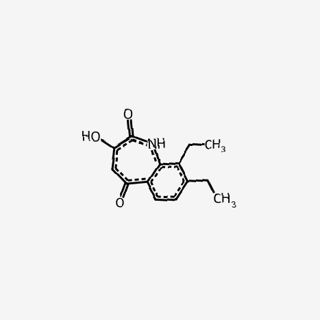 CCc1ccc2c(=O)cc(O)c(=O)[nH]c2c1CC